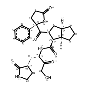 O=C1CC[C@@](C(=O)N2C[C@H]3CCC[C@H]3[C@H]2C(=O)N[C@@H](C[C@@H]2CCNC2=O)C(=O)CO)(c2ccccc2)N1